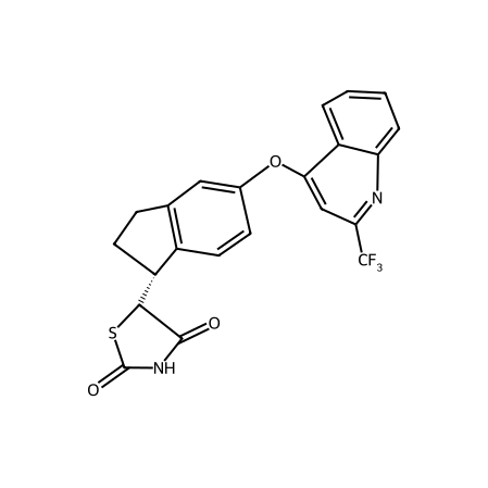 O=C1NC(=O)C([C@@H]2CCc3cc(Oc4cc(C(F)(F)F)nc5ccccc45)ccc32)S1